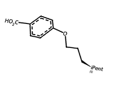 CCC[C@H](C)CCCOc1ccc(C(=O)O)cc1